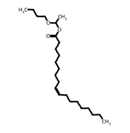 CCCCCCCC/C=C\CCCCCCCC(=O)OC(C)OCCCC